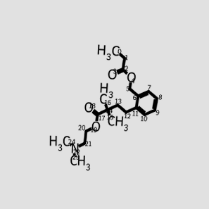 CCC(=O)OCc1ccccc1CCC(C)(C)C(=O)OCCN(C)C